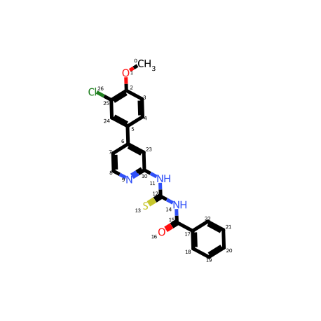 COc1ccc(-c2ccnc(NC(=S)NC(=O)c3ccccc3)c2)cc1Cl